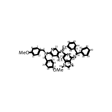 CCc1cc(N(Cc2ccc(OC)cc2)Cc2ccc(OC)cc2)ncc1N(CC)c1cc2c(ncn2C)c(N=C(c2ccccc2)c2ccccc2)n1